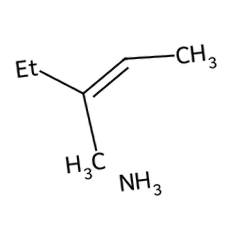 CC=C(C)CC.N